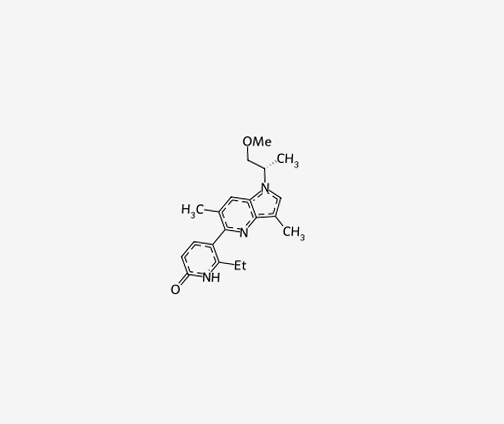 CCc1[nH]c(=O)ccc1-c1nc2c(C)cn([C@@H](C)COC)c2cc1C